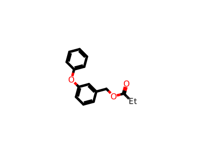 CCC(=O)OCc1cccc(Oc2ccccc2)c1